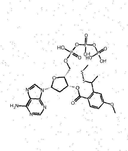 COc1ccc(C(=O)O[C@@H]2C[C@H](n3cnc4c(N)ncnc43)O[C@@H]2COP(=O)(O)OP(=O)(O)OP(=O)(O)O)c(C(C)SSC)c1